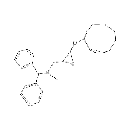 CN(CC1OC1OC1/C=C\CCCCCC1)C(c1ccccc1)c1ccccc1